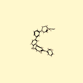 CN1CCN(c2cccc(-c3cnc4[nH]c5cnc(-c6cccnc6)cc5c4c3)c2)CC1